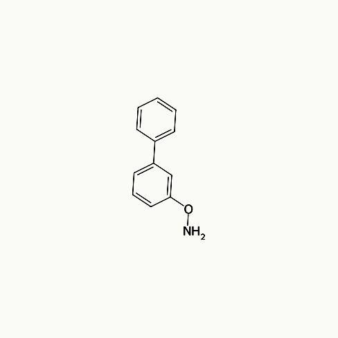 NOc1cccc(-c2ccccc2)c1